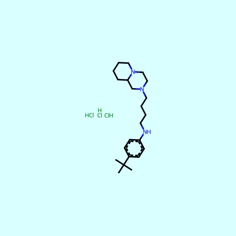 CC(C)(C)c1ccc(NCCCCN2CCN3CCCCC3C2)cc1.Cl.Cl.Cl